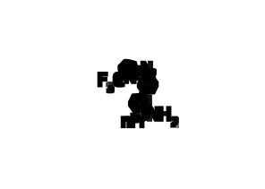 CCCC(N)c1cccc(-c2ccc3cnn(-c4cccc(C(F)(F)F)n4)c3c2)n1